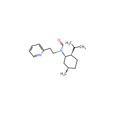 CC(C)[C@H]1CC[C@@H](C)C[C@H]1N(C=O)CCc1ccccn1